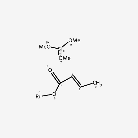 CC=CC(=O)[O][Ru].CO[SiH](OC)OC